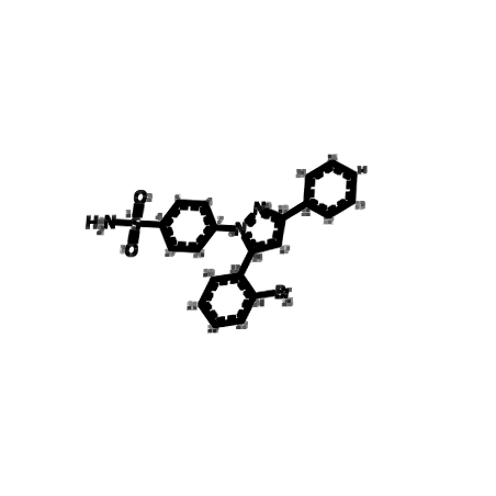 NS(=O)(=O)c1ccc(-n2nc(-c3ccccc3)cc2-c2ccccc2Br)cc1